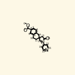 COC(=O)c1ccc2c(c1)CCC1(CC(=O)N(c3ccncc3)C1)C2